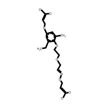 CCc1cc(OCC=C(Cl)Cl)cc(C)c1OCCOCC=NOCC=C(Cl)Cl